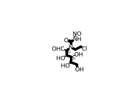 O=C[C@H]([C@@H](O)[C@H](O)[C@H](O)CO)N(CCCl)C(=O)NN=O